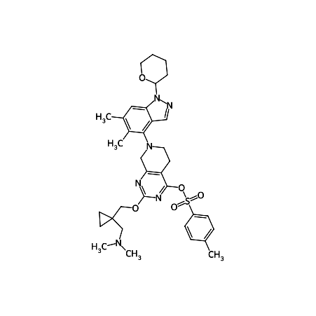 Cc1ccc(S(=O)(=O)Oc2nc(OCC3(CN(C)C)CC3)nc3c2CCN(c2c(C)c(C)cc4c2cnn4C2CCCCO2)C3)cc1